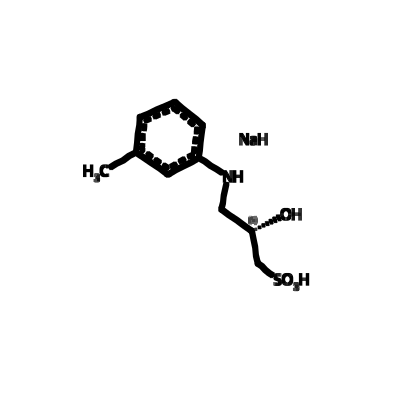 Cc1cccc(NC[C@H](O)CS(=O)(=O)O)c1.[NaH]